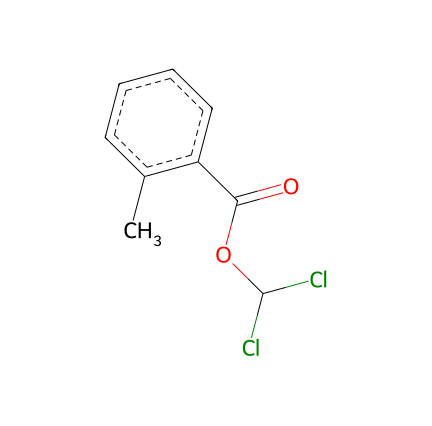 Cc1ccccc1C(=O)OC(Cl)Cl